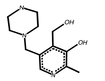 Cc1ncc(CN2CC[N]CC2)c(CO)c1O